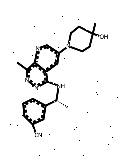 Cc1nnc(N[C@H](C)c2cccc(C#N)c2)c2cc(N3CCC(C)(O)CC3)cnc12